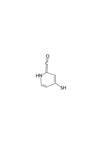 O=C=C1C=C(S)C=CN1